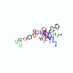 Cc1nc(N)sc1S(=O)(=O)N1Cc2cc3c(cc2CC1C(=O)NC(Cc1ccc(-c2ccccc2)cc1)C(=O)O)OCC(c1ccc(OCc2ccc(Cl)c(Cl)c2)cc1)O3